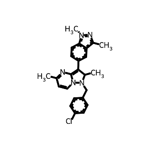 CC1=NC2=C(c3ccc4c(c3)c(C)nn4C)C(C)N(Cc3ccc(Cl)cc3)N2C=C1